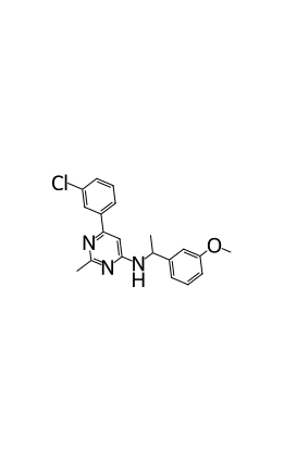 COc1cccc(C(C)Nc2cc(-c3cccc(Cl)c3)nc(C)n2)c1